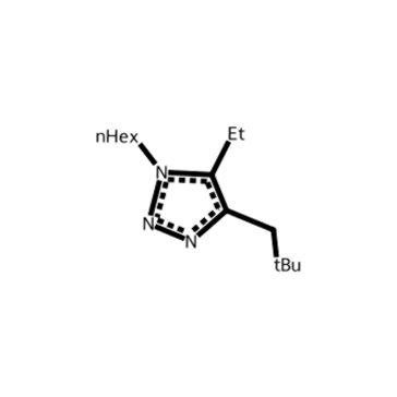 CCCCCCn1nnc(CC(C)(C)C)c1CC